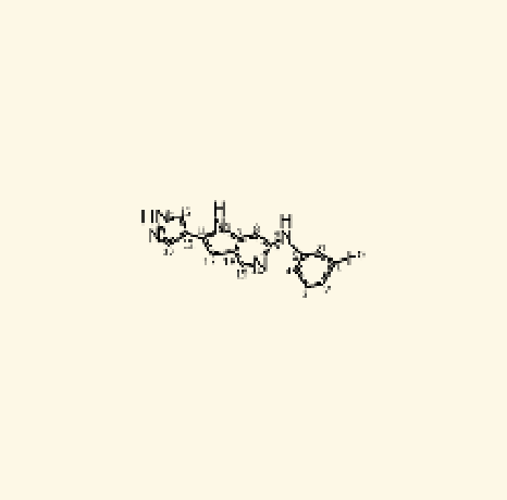 Fc1cccc(Nc2cc3[nH]c(-c4cn[nH]c4)cc3cn2)c1